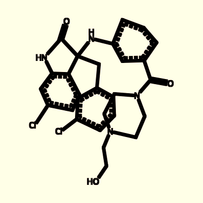 O=C(c1cccc(NC2(Cc3cccc(Cl)c3)C(=O)Nc3cc(Cl)ccc32)c1)N1CCN(CCO)CC1